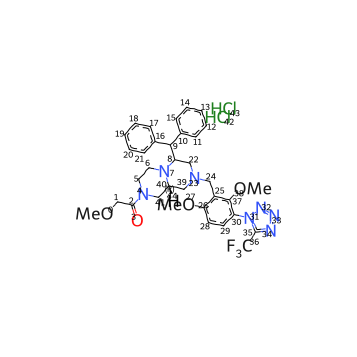 COCC(=O)N1CCN2C(C(c3ccccc3)c3ccccc3)CN(Cc3c(OC)ccc(-n4nnnc4C(F)(F)F)c3OC)C[C@@H]2C1.Cl.Cl